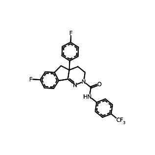 O=C(Nc1ccc(C(F)(F)F)cc1)N1CCC2(c3ccc(F)cc3)Cc3cc(F)ccc3C2=N1